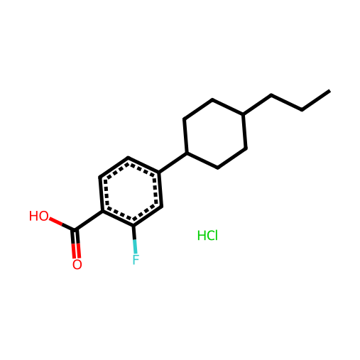 CCCC1CCC(c2ccc(C(=O)O)c(F)c2)CC1.Cl